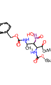 COC(=O)C(NC(=O)OC(C)(C)C)C(C(C)NC(=O)OCc1ccccc1)[PH](=O)O